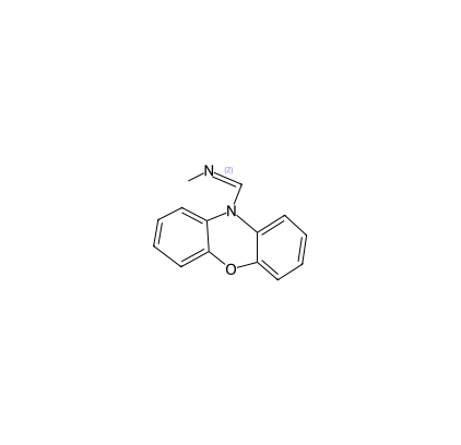 C/N=C\N1c2ccccc2Oc2ccccc21